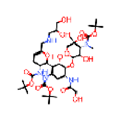 CN(C(=O)OC(C)(C)C)[C@@H]1[C@@H](O)[C@@H](O[C@@H]2[C@@H](O)[C@H](C3OC(CNCC(O)CO)=CC[C@H]3NC(=O)OC(C)(C)C)C(NC(=O)OC(C)(C)C)C[C@H]2NC(=O)CO)OC[C@]1(C)O